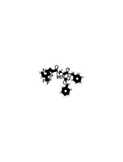 O=C(N[C@H](CNC(=O)c1cc2nccc(C(F)(F)F)c2s1)C(=O)OCc1ccccc1)OCc1ccccc1